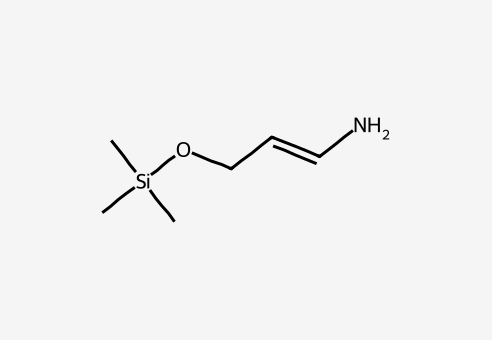 C[Si](C)(C)OCC=CN